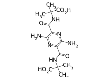 CC(C)(NC(=O)c1nc(N)c(C(=O)NC(C)(C)C(=O)O)nc1N)C(=O)O